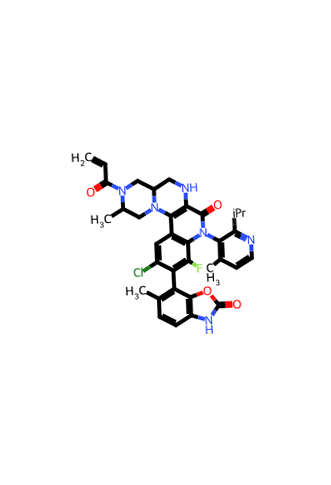 C=CC(=O)N1CC2CNc3c(c4cc(Cl)c(-c5c(C)ccc6[nH]c(=O)oc56)c(F)c4n(-c4c(C)ccnc4C(C)C)c3=O)N2CC1C